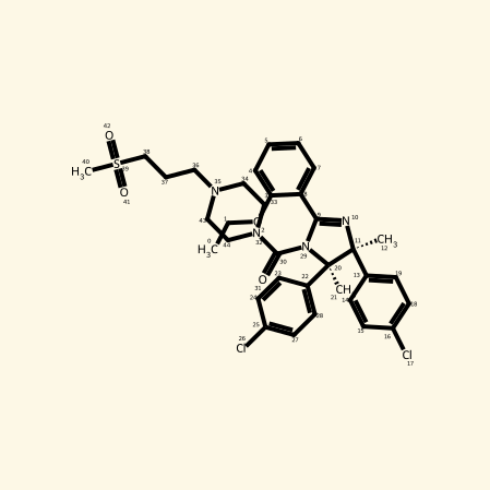 CCOc1ccccc1C1=N[C@@](C)(c2ccc(Cl)cc2)[C@@](C)(c2ccc(Cl)cc2)N1C(=O)N1CCN(CCCS(C)(=O)=O)CC1